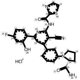 Cl.N#Cc1c(-c2cccc(N3CCC[C@@H]3C(N)=O)c2)cc(-c2ccc(F)cc2O)nc1NC(=O)c1nccs1